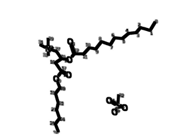 CCCCCCCCCCCCC(=O)OC(CC(=O)OCCCCCCC)C[N+](C)(C)C.CS(=O)(=O)[O-]